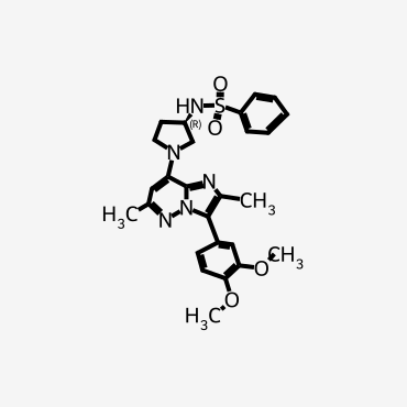 COc1ccc(-c2c(C)nc3c(N4CC[C@@H](NS(=O)(=O)c5ccccc5)C4)cc(C)nn23)cc1OC